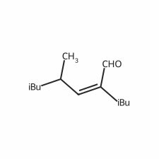 CCC(C)C(C=O)=CC(C)C(C)CC